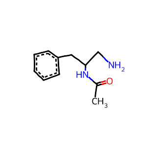 CC(=O)NC(CN)Cc1ccccc1